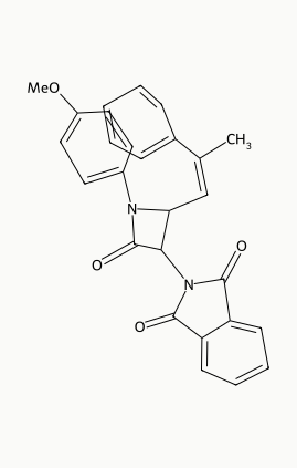 COc1ccc(N2C(=O)C(N3C(=O)c4ccccc4C3=O)C2/C=C(/C)c2ccccc2)cc1